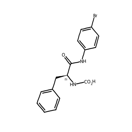 O=C(O)N[C@@H](Cc1ccccc1)C(=O)Nc1ccc(Br)cc1